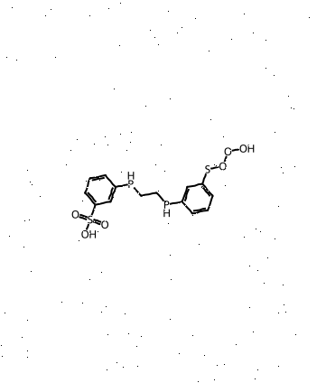 O=S(=O)(O)c1cccc(PCCPc2cccc(SOOO)c2)c1